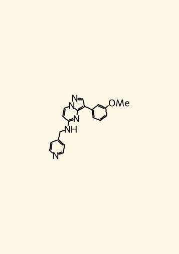 COc1cccc(-c2cnn3ccc(NCc4ccncc4)nc23)c1